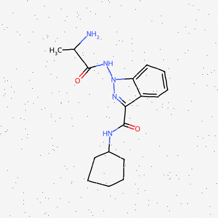 CC(N)C(=O)Nn1nc(C(=O)NC2CCCCC2)c2ccccc21